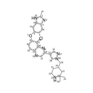 Cc1nc2ccc(Oc3ccc4ncc(-c5cnn(CC6CCNC(C)(C)C6)c5)nc4c3Cl)cc2[nH]1